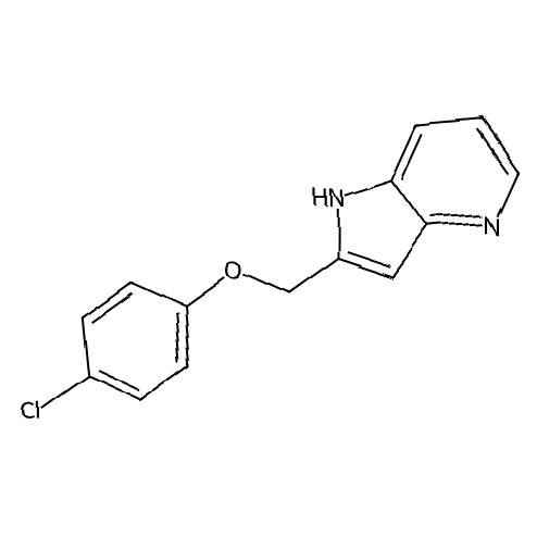 Clc1ccc(OCc2cc3ncccc3[nH]2)cc1